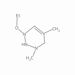 CCON1C=C(C)CN(C)N1